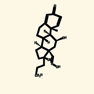 C[C@]12C=CC(=O)C=C1CC[C@H]1[C@@H]3CC[C@@](O)(CCC(=O)O)[C@@]3(/C=N/O)C[C@H](O)[C@@]12F